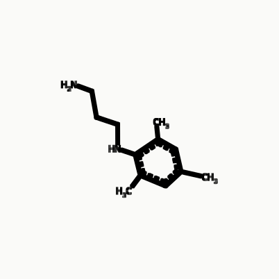 Cc1cc(C)c(NCCCN)c(C)c1